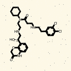 O=C1COc2c(cccc2[C@H](O)CNCCN(C(=O)CCNCCc2ccc(Cl)c(Cl)c2)C2CCCCC2)N1